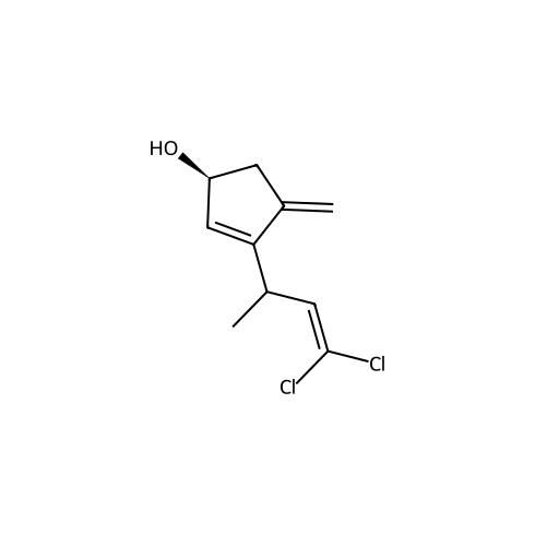 C=C1C[C@H](O)C=C1C(C)C=C(Cl)Cl